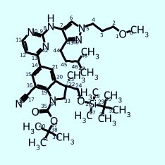 COCCCn1cc(Nc2nccc(-c3cc(C#N)c4c(c3)[C@@](C)(CO[Si](C)(C)C(C)(C)C)CN4C(=O)OC(C)(C)C)n2)c(CCC(C)C)n1